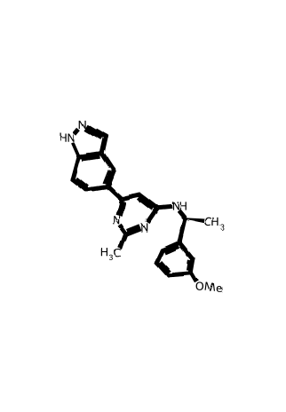 COc1cccc([C@H](C)Nc2cc(-c3ccc4[nH]ncc4c3)nc(C)n2)c1